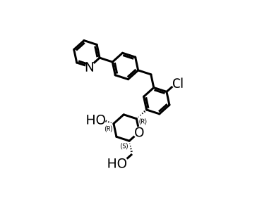 OC[C@@H]1C[C@H](O)C[C@H](c2ccc(Cl)c(Cc3ccc(-c4ccccn4)cc3)c2)O1